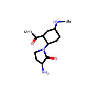 COC(=O)C1CC(NC(C)(C)C)CCC1N1CC[C@H](N)C1=O